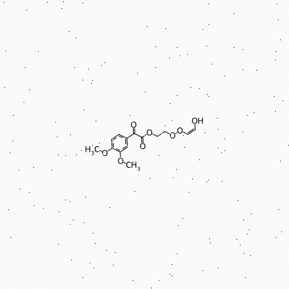 COc1ccc(C(=O)C(=O)OCCOO/C=C\O)cc1OC